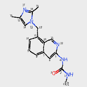 CCNC(=O)Nc1cc2cccc(Cn3cc(C)nc3C)c2cn1